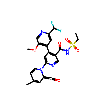 CCS(=O)(=O)NC(=O)c1cnc(N2C=CC(C)=CC2=C=O)cc1-c1cc(C(F)F)ncc1OC